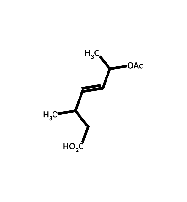 CC(=O)OC(C)/C=C/C(C)CC(=O)O